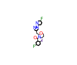 O=C(c1cc(F)ccc1I)N1CCCOC1Cc1cnn(-c2ccc(F)cn2)c1